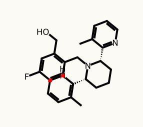 CC1=C([C@H]2CCC[C@@H](c3ncccc3C)N2Cc2ccc(F)cc2CO)NCC=C1